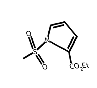 CCOC(=O)c1cccn1S(C)(=O)=O